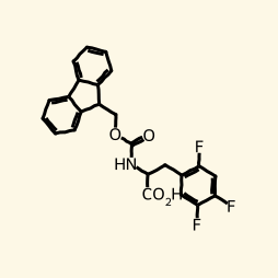 O=C(NC(Cc1cc(F)c(F)cc1F)C(=O)O)OCC1c2ccccc2-c2ccccc21